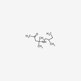 CCC(C)CNC(C)(C)CC(C)=O